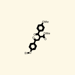 CCOc1ccc(C(=O)CC(C(=O)OC)C(=O)c2ccc(OC)cc2)cc1